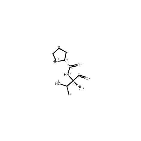 C[C@@H](O)[C@@](N)(C=O)NC(=O)[C@H]1CCCN1